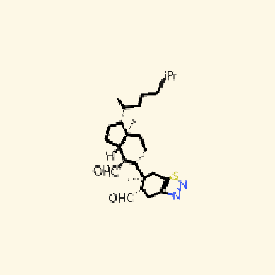 CC(C)CCCC(C)[C@H]1CC[C@H]2[C@H](C=O)[C@@H]([C@@]3(C)Cc4snnc4C[C@@H]3C=O)CC[C@]12C